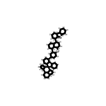 c1ccc2c(c1)-c1c(-c3ccc4c(c3)-c3cccc5c(-c6cccc7c6sc6ccccc67)ccc(c35)O4)cccc1C21c2ccccc2-c2cccc3cccc1c23